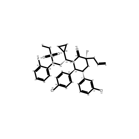 C=CC[C@@]1(C)C[C@H](c2cccc(Cl)c2)[C@@H](c2ccc(Cl)cc2)N([C@H](CN(c2ccccc2F)S(=O)(=O)CC)C2CC2)C1=O